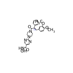 COc1ccc(/C=C(/C(=O)N2CCN(c3ncc(C(=O)NO)cn3)CC2)c2ccccc2)cc1OC